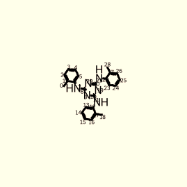 Cc1ccccc1Nc1nc(Nc2ccccc2C)nc(Nc2ccccc2C)n1